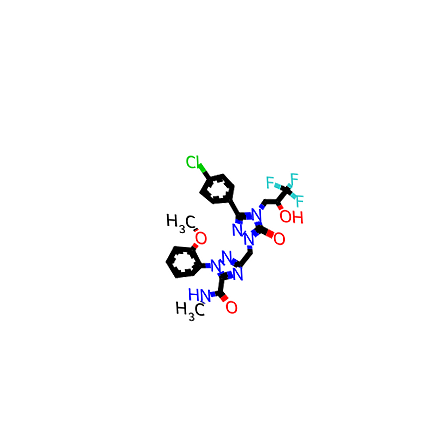 CNC(=O)c1nc(Cn2nc(-c3ccc(Cl)cc3)n(CC(O)C(F)(F)F)c2=O)nn1-c1ccccc1OC